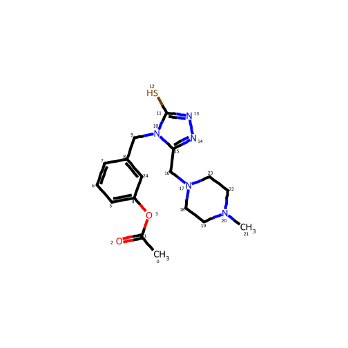 CC(=O)Oc1cccc(Cn2c(S)nnc2CN2CCN(C)CC2)c1